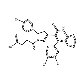 O=C(O)CCC(=O)N1N=C(c2c(-c3ccc(Cl)c(Cl)c3)c3ccccc3[nH]c2=O)CC1c1ccc(Cl)cc1